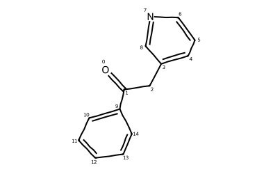 O=C(Cc1cccnc1)c1ccccc1